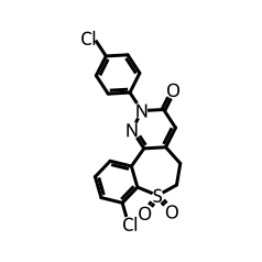 O=c1cc2c(nn1-c1ccc(Cl)cc1)-c1cccc(Cl)c1S(=O)(=O)CC2